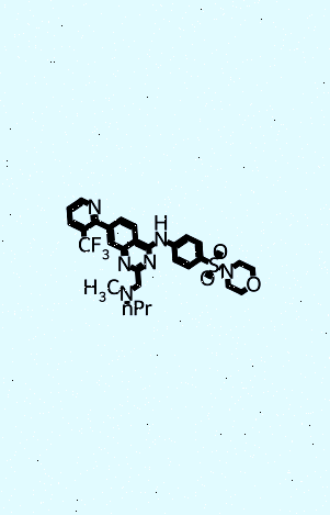 CCCN(C)Cc1nc(Nc2ccc(S(=O)(=O)N3CCOCC3)cc2)c2ccc(-c3ncccc3C(F)(F)F)cc2n1